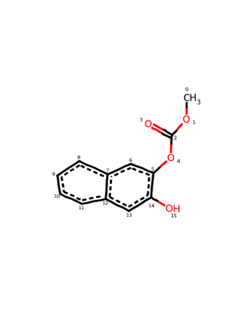 COC(=O)Oc1cc2ccccc2cc1O